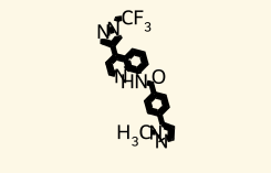 Cn1nccc1-c1ccc(C(=O)Nc2cccc3c(-c4cnn(CC(F)(F)F)c4)ccnc23)cc1